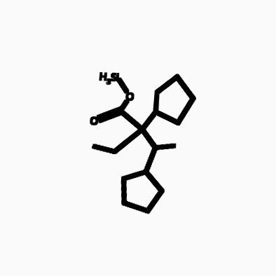 CCC(C(=O)O[SiH3])(C1CCCC1)C(C)C1CCCC1